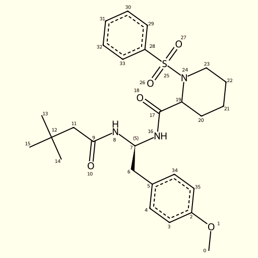 COc1ccc(C[C@@H](NC(=O)CC(C)(C)C)NC(=O)C2CCCCN2S(=O)(=O)c2ccccc2)cc1